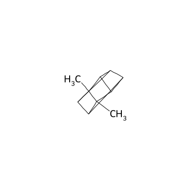 CC12C3C4C5C3C1(C)C5C42